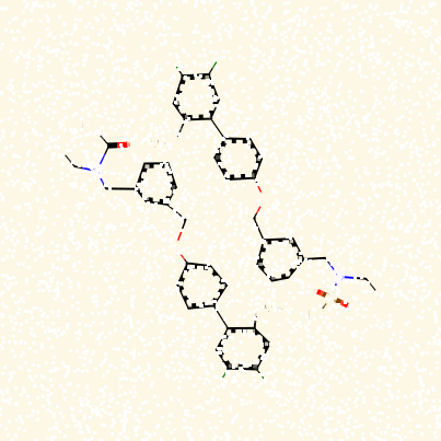 CCS(=O)(=O)N(CC(=O)O)Cc1cccc(COc2ccc(-c3cc(F)c(F)cc3OC)cc2)c1.COc1cc(F)c(F)cc1-c1ccc(OCc2cccc(CN(CC(=O)O)C(=O)C(C)(C)C)c2)cc1